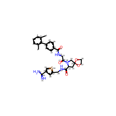 Cc1cccc(C)c1-c1ccc(C(=O)NCC(=O)N2CC3(CC2C(=O)NCc2cc(C(=N)N)cs2)OCCO3)cc1